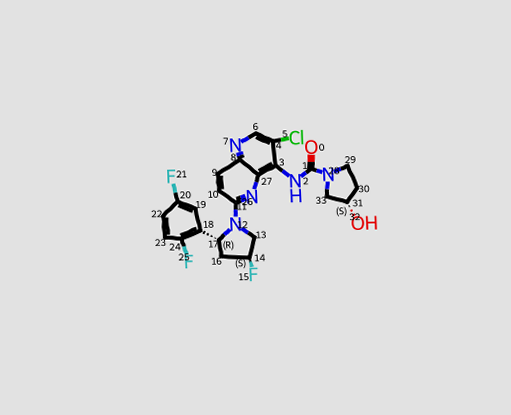 O=C(Nc1c(Cl)cnc2ccc(N3C[C@@H](F)C[C@@H]3c3cc(F)ccc3F)nc12)N1CC[C@H](O)C1